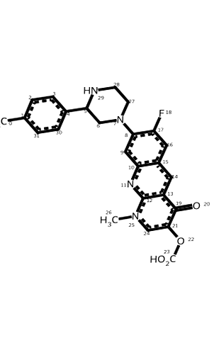 Cc1ccc(C2CN(c3cc4nc5c(cc4cc3F)c(=O)c(OC(=O)O)cn5C)CCN2)cc1